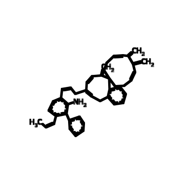 C=C1/C=C\CCC2(CC/C=C\C1=C)C(=C)/C=C\C(C/C=C\c1ccc(/C=C\C)c(-c3ccccc3)c1N)=C/Cc1ccccc12